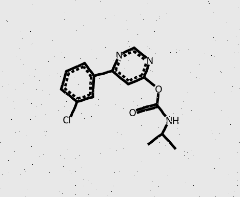 CC(C)NC(=O)Oc1cc(-c2cccc(Cl)c2)ncn1